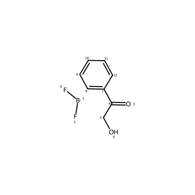 F[B]F.O=C(CO)c1ccccc1